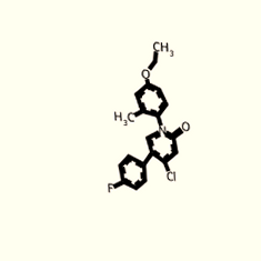 CCOc1ccc(-n2cc(-c3ccc(F)cc3)c(Cl)cc2=O)c(C)c1